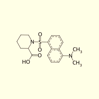 CN(C)c1cccc2c(S(=O)(=O)N3CCCCC3C(=O)O)cccc12